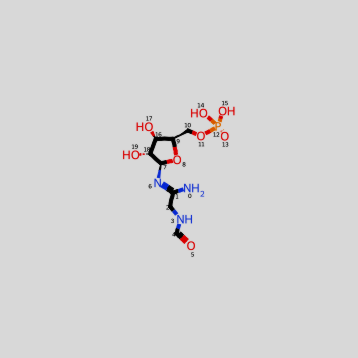 N/C(CNC=O)=N\[C@@H]1O[C@H](COP(=O)(O)O)[C@H](O)[C@H]1O